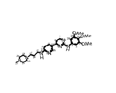 COc1cc(Nc2nccc(-c3ccc(NCCCN4CCN(C)CC4)nc3)n2)cc(OC)c1OC